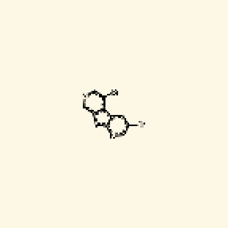 Brc1cnc2sc3cncc(Br)c3c2c1